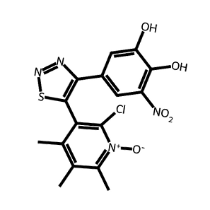 Cc1c(C)c(C)[n+]([O-])c(Cl)c1-c1snnc1-c1cc(O)c(O)c([N+](=O)[O-])c1